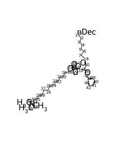 CCCCCCCCCCCCCCCCCCOCC(COP(=O)([O-])OCCCCCCCCCCCCCC[N+](C)(C)C)OCc1ccccc1